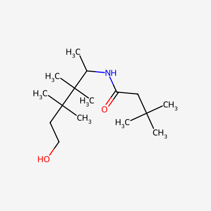 CC(NC(=O)CC(C)(C)C)C(C)(C)C(C)(C)CCO